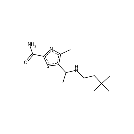 Cc1nc(C(N)=O)sc1C(C)NCCC(C)(C)C